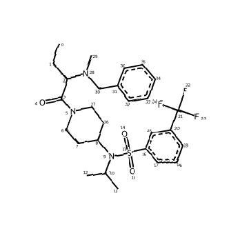 CCC(C(=O)N1CCC(N(C(C)C)S(=O)(=O)c2cccc(C(F)(F)F)c2)CC1)N(C)Cc1ccccc1